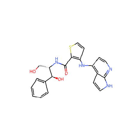 O=C(N[C@@H](CO)[C@@H](O)c1ccccc1)c1sccc1Nc1ccnc2[nH]ccc12